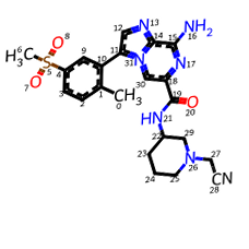 Cc1ccc(S(C)(=O)=O)cc1-c1cnc2c(N)nc(C(=O)NC3CCCN(CC#N)C3)cn12